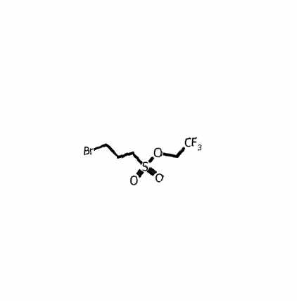 O=S(=O)(CCCBr)OCC(F)(F)F